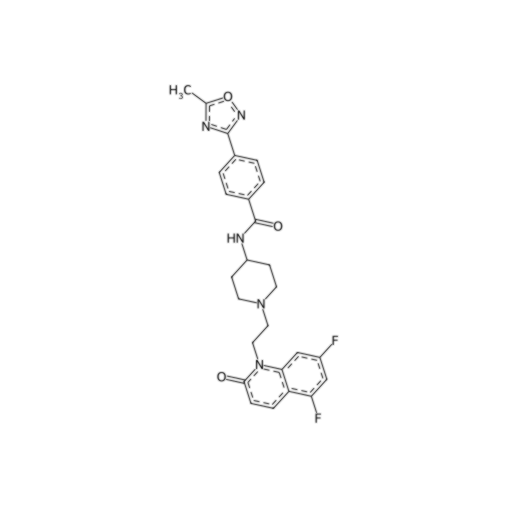 Cc1nc(-c2ccc(C(=O)NC3CCN(CCn4c(=O)ccc5c(F)cc(F)cc54)CC3)cc2)no1